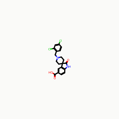 O=C(O)c1ccc2c(c1)C1(CCN(Cc3ccc(Cl)cc3Cl)CC1)C(=O)N2